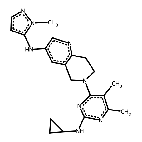 Cc1nc(NC2CC2)nc(N2CCc3ncc(Nc4ccnn4C)cc3C2)c1C